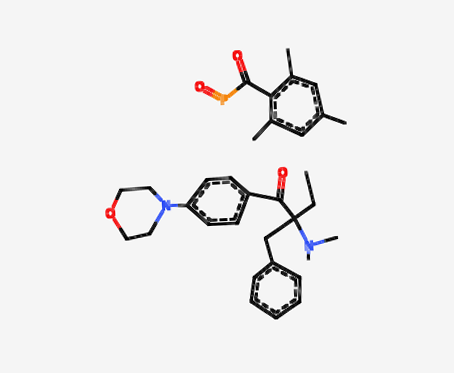 CCC(Cc1ccccc1)(C(=O)c1ccc(N2CCOCC2)cc1)N(C)C.Cc1cc(C)c(C(=O)P=O)c(C)c1